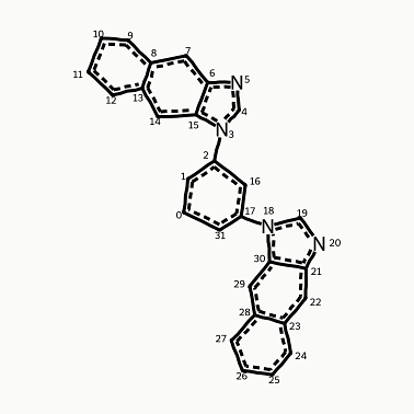 c1cc(-n2cnc3cc4ccccc4cc32)cc(-n2cnc3cc4ccccc4cc32)c1